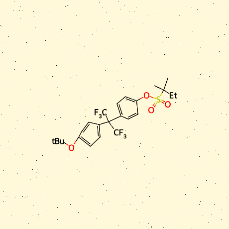 CCC(C)(C)S(=O)(=O)Oc1ccc(C(c2ccc(OC(C)(C)C)cc2)(C(F)(F)F)C(F)(F)F)cc1